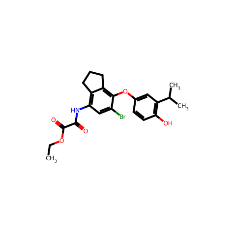 CCOC(=O)C(=O)Nc1cc(Br)c(Oc2ccc(O)c(C(C)C)c2)c2c1CCC2